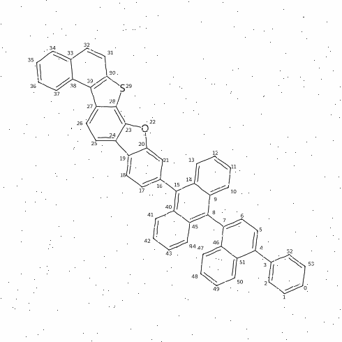 c1ccc(-c2ccc(-c3c4ccccc4c(-c4ccc5c(c4)oc4c5ccc5c4sc4ccc6ccccc6c45)c4ccccc34)c3ccccc23)cc1